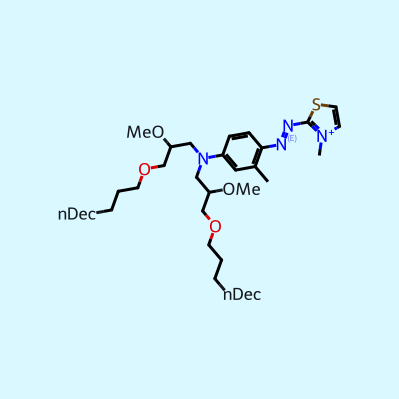 CCCCCCCCCCCCCOCC(CN(CC(COCCCCCCCCCCCCC)OC)c1ccc(/N=N/c2scc[n+]2C)c(C)c1)OC